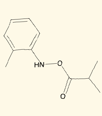 Cc1ccccc1NOC(=O)C(C)C